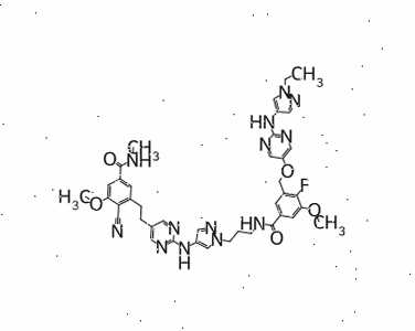 CCn1cc(Nc2ncc(OCc3cc(C(=O)NCCCn4cc(Nc5ncc(CCc6cc(C(=O)NC)cc(OC)c6C#N)cn5)cn4)cc(OC)c3F)cn2)cn1